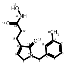 Cc1cccc(CN2CC=C(CCC(=O)NO)C2=O)c1